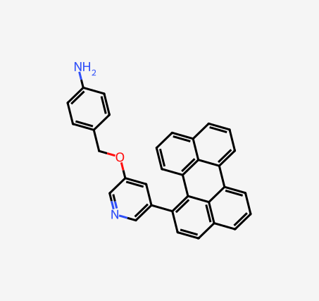 Nc1ccc(COc2cncc(-c3ccc4cccc5c6cccc7cccc(c3c45)c76)c2)cc1